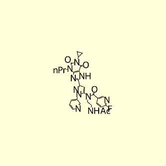 CCCn1c(=O)n(C2CC2)c(=O)c2[nH]c(-c3cc(N(CCNC(C)=O)C(=O)c4ccc(F)nc4)n(-c4cccnc4)n3)nc21